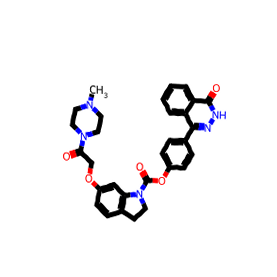 CN1CCN(C(=O)COc2ccc3c(c2)N(C(=O)Oc2ccc(-c4n[nH]c(=O)c5ccccc45)cc2)CC3)CC1